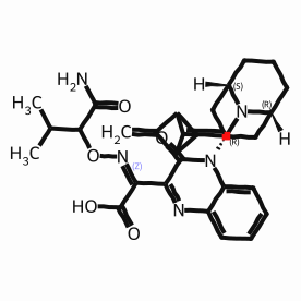 C=C1C2CC1C2=CN1[C@@H]2CCC[C@H]1C[C@@H](n1c(=O)c(/C(=N/OC(C(N)=O)C(C)C)C(=O)O)nc3ccccc31)C2